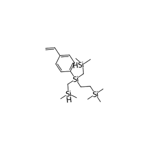 C=Cc1ccc([Si](CC[Si](C)(C)C)(C[SiH](C)C)C[SiH](C)C)cc1